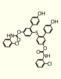 O=C(Nc1ccccc1Cl)Oc1ccc(Sc2ccc(OC(=O)Nc3ccccc3Cl)cc2-c2ccc(O)cc2)c(-c2ccc(O)cc2)c1